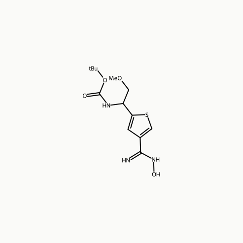 COCC(NC(=O)OC(C)(C)C)c1cc(C(=N)NO)cs1